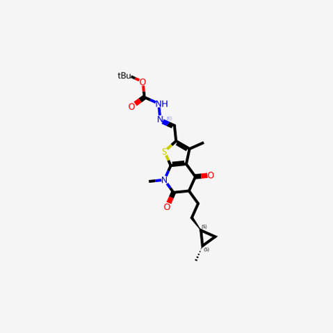 Cc1c(/C=N/NC(=O)OC(C)(C)C)sc2c1C(=O)C(CC[C@H]1C[C@@H]1C)C(=O)N2C